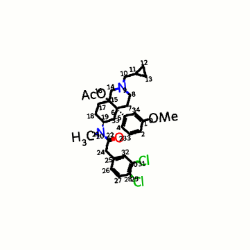 COc1cccc([C@@]23CCN(CC4CC4)C[C@@]2(OC(C)=O)CC[C@@H](N(C)C(=O)Cc2ccc(Cl)c(Cl)c2)C3)c1